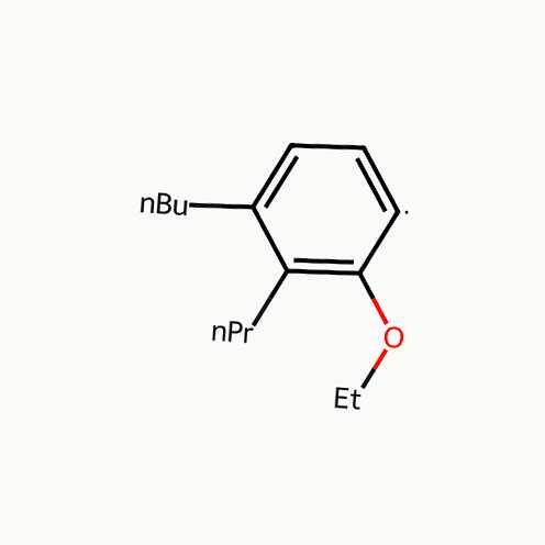 CCCCc1cc[c]c(OCC)c1CCC